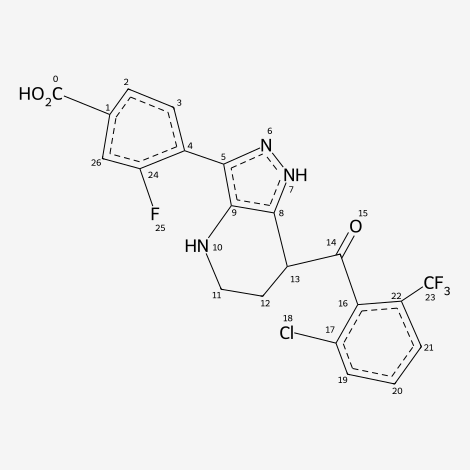 O=C(O)c1ccc(-c2n[nH]c3c2NCCC3C(=O)c2c(Cl)cccc2C(F)(F)F)c(F)c1